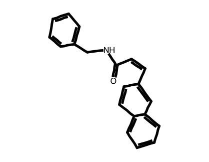 O=C(/C=C\c1ccc2ccccc2c1)NCc1ccccc1